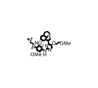 COCCOc1cnc(Nc2cc([N+](=O)[O-])c(N(C)CCN(C)C)cc2OC)nc1-c1cn2c3c(cccc13)CCC2